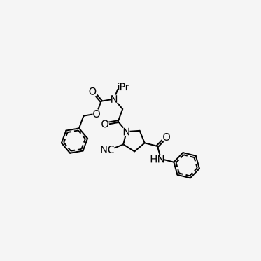 CC(C)N(CC(=O)N1CC(C(=O)Nc2ccccc2)CC1C#N)C(=O)OCc1ccccc1